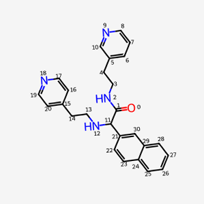 O=C(NCCc1cccnc1)C(NCCc1ccncc1)c1ccc2ccccc2c1